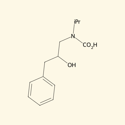 CC(C)N(CC(O)Cc1ccccc1)C(=O)O